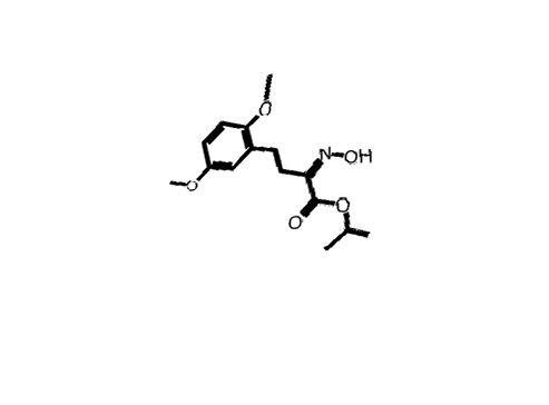 COc1ccc(OC)c(CCC(=NO)C(=O)OC(C)C)c1